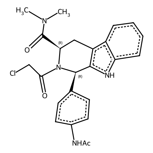 CC(=O)Nc1ccc([C@@H]2c3[nH]c4ccccc4c3C[C@H](C(=O)N(C)C)N2C(=O)CCl)cc1